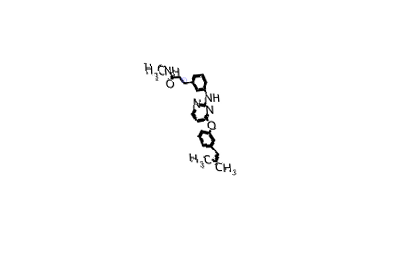 CNC(=O)/C=C/c1cccc(Nc2nccc(Oc3cccc(C=C(C)C)c3)n2)c1